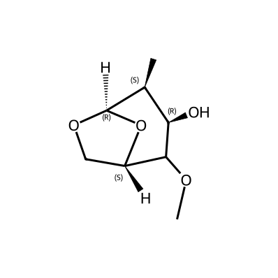 COC1[C@@H]2CO[C@H](O2)[C@@H](C)[C@H]1O